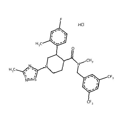 Cc1nsc(N2CCC(C(=O)N(C)Cc3cc(C(F)(F)F)cc(C(F)(F)F)c3)C(c3ccc(F)cc3C)C2)n1.Cl